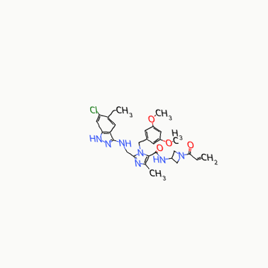 C=CC(=O)N1CC(NC(=O)c2c(C)nc(CNc3n[nH]c4cc(Cl)c(CC)cc34)n2Cc2cc(OC)cc(OC)c2)C1